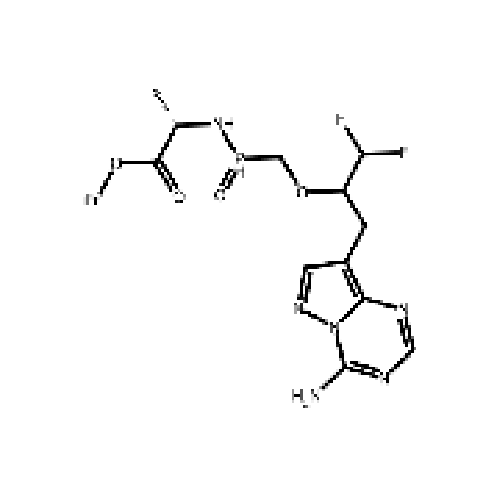 CC(C)OC(=O)[C@H](C)N[PH](=O)COC(Cc1cnn2c(N)ncnc12)C(F)F